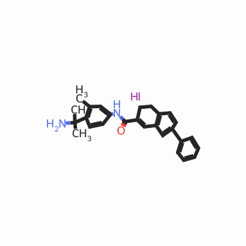 Cc1cc(NC(=O)C2=Cc3cc(-c4ccccc4)ccc3CC2)ccc1C(C)(C)N.I